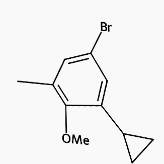 COc1c(C)cc(Br)cc1C1CC1